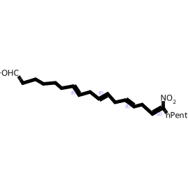 CCCCC/C(=C/C/C=C/C/C=C/C/C=C/CCCCC[C]=O)[N+](=O)[O-]